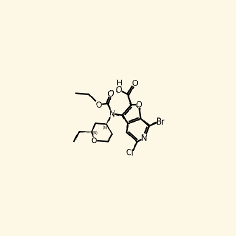 CCOC(=O)N(c1c(C(=O)O)oc2c(Br)nc(Cl)cc12)[C@H]1CCO[C@@H](CC)C1